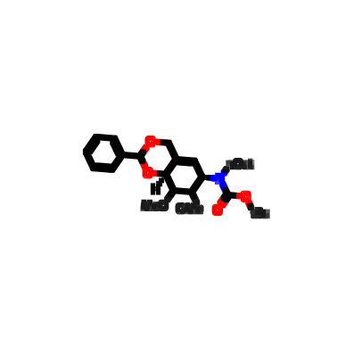 CCCCCCCCN(C(=O)OC(C)(C)C)[C@@H]1C=C2COC(c3ccccc3)O[C@@H]2C(OC)C1OC